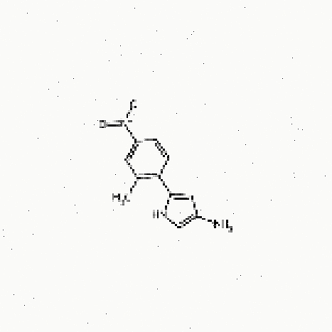 Cc1cc([N+](=O)[O-])ccc1-c1cc(N)c[nH]1